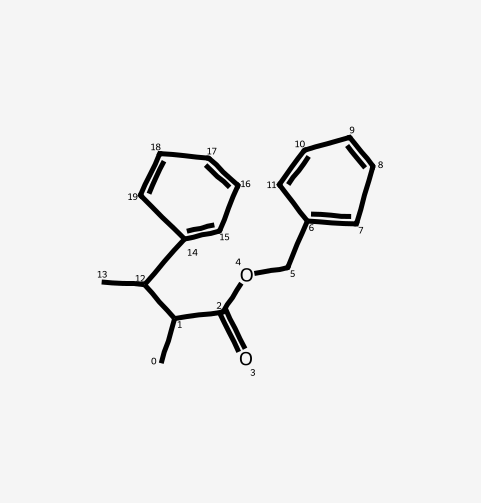 CC(C(=O)OCc1ccccc1)C(C)c1ccccc1